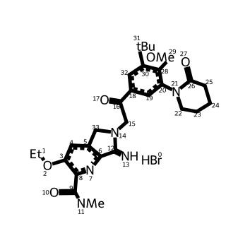 Br.CCOc1cc2c(nc1C(=O)NC)C(=N)N(CC(=O)c1cc(N3CCCCC3=O)c(OC)c(C(C)(C)C)c1)C2